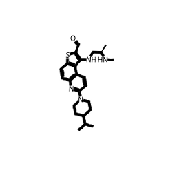 CN[C@H](C)CNc1c(C=O)sc2ccc3nc(N4CCC(C(C)C)CC4)ccc3c12